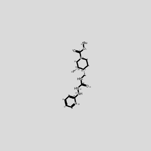 CC(C)(C)OC(=O)N1CC[C@H](CNC(=O)NNc2ccccn2)[C@H](F)C1